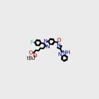 CC(C)(C)OC(=O)CCCCc1nc2cc(C(=O)N3CC(c4nc5ccccc5[nH]4)C3)ccc2nc1-c1ccc(F)cc1